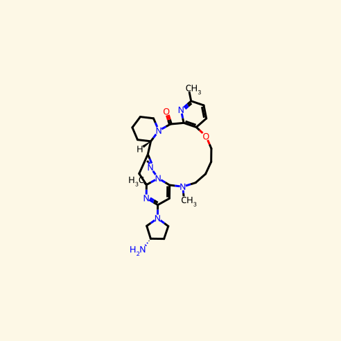 Cc1ccc2c(n1)C(=O)N1CCCC[C@H]1C1=NN3C(=CC(N4CC[C@H](N)C4)=NC3(C)C1)N(C)CCCCO2